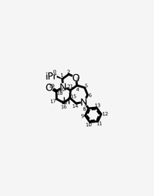 CC(C)[C@H]1COC2CCN(c3ccccc3)C[C@H]3CCC(=O)N1C23